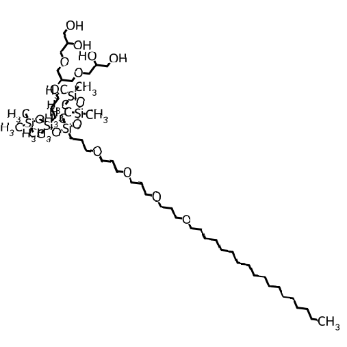 CCCCCCCCCCCCCCCCCCOCCCOCCCOCCCOCCC[Si](C)(O[Si](C)(C)O[Si](C)(C)C)O[Si](C)(CCCOC(COCC(O)CO)COCC(O)CO)O[Si](C)(C)C